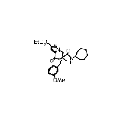 CCOC(=O)c1cc2n(n1)CC(C)(C(=O)NC1CCCCCC1)N(Cc1cccc(OC)c1)C2=O